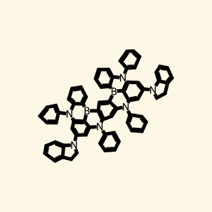 c1ccc(N2c3ccccc3B3c4cc5c(cc4N(c4ccccc4)c4cc(N6CCc7ccccc76)cc2c43)N(c2ccccc2)c2cc(N3CCc4ccccc43)cc3c2B5c2ccccc2N3c2ccccc2)cc1